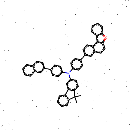 CC1(C)c2ccccc2-c2cc(N(c3ccc(-c4ccc5ccccc5c4)cc3)c3ccc(-c4ccc5c(ccc6oc7ccccc7c65)c4)cc3)ccc21